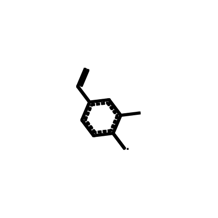 [CH2]c1ccc(C=C)cc1C